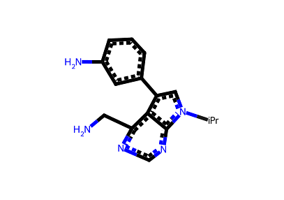 CC(C)n1cc(-c2cccc(N)c2)c2c(CN)ncnc21